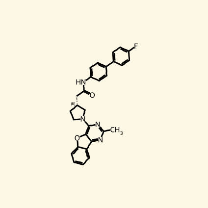 Cc1nc(N2CC[C@H](CC(=O)Nc3ccc(-c4ccc(F)cc4)cc3)C2)c2oc3ccccc3c2n1